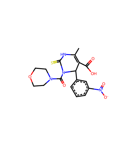 CC1=C(C(=O)O)C(c2cccc([N+](=O)[O-])c2)N(C(=O)N2CCOCC2)C(=S)N1